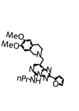 CCCNc1ncc(CN2CCc3cc(OC)c(OC)cc3C2)c2nc(-c3ccco3)nn12